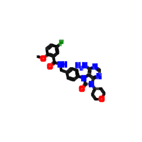 COc1ccc(F)cc1C(=O)NCc1ccc(-n2c(=O)n(C3CCOCC3)c3ncnc(N)c32)cc1